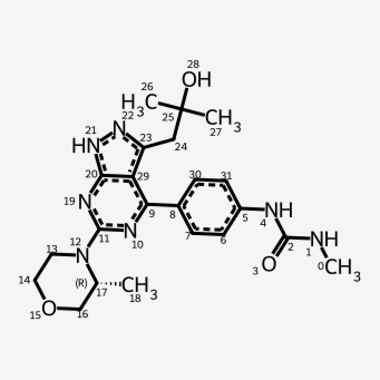 CNC(=O)Nc1ccc(-c2nc(N3CCOC[C@H]3C)nc3[nH]nc(CC(C)(C)O)c23)cc1